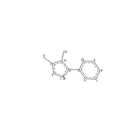 Cc1csc(-c2[c]cccc2)c1C